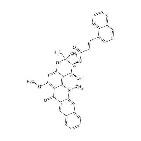 COc1cc2c(c3c1c(=O)c1cc4ccccc4cc1n3C)[C@H](O)[C@H](OC(=O)C=Cc1cccc3ccccc13)C(C)(C)O2